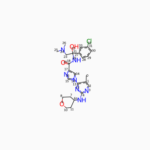 Cc1cnc(NC2CCOCC2)nc1-n1cnc(C(=O)NC(O)(CN(C)C)c2cccc(Cl)c2)c1